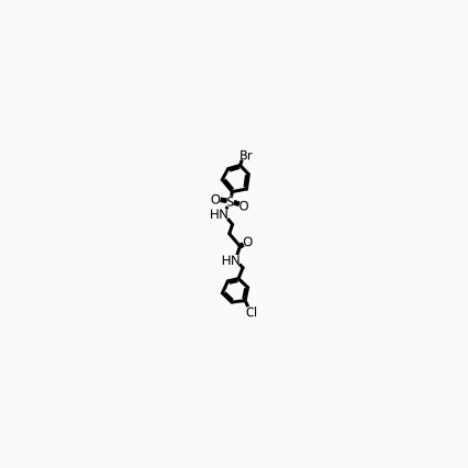 O=C(CCNS(=O)(=O)c1ccc(Br)cc1)NCc1cccc(Cl)c1